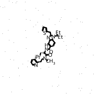 CCC(CC)n1c(Cc2cccs2)nc2cc(C(=O)N[C@@H](CC(C)C)C(=O)N(C)CCc3ccccn3)ccc21